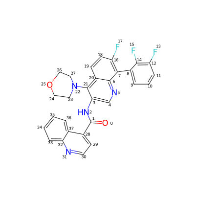 O=C(Nc1cnc2c(-c3cccc(F)c3F)c(F)ccc2c1N1CCOCC1)c1ccnc2ccccc12